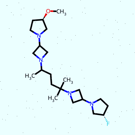 CO[C@@H]1CCN(C2CN(C(C)CCC(C)(C)N3CC(N4CC[C@H](F)C4)C3)C2)C1